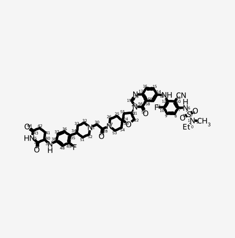 CCN(C)S(=O)(=O)Nc1ccc(F)c(Nc2ccc3ncn([C@H]4COC5(CCN(C(=O)CN6CCC(c7ccc(NC8CCC(=O)NC8=O)cc7F)CC6)CC5)C4)c(=O)c3c2)c1C#N